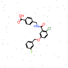 O=C(O)c1ccc(CNC(=O)c2cc(OCc3cccc(F)c3)ccc2Cl)cc1